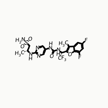 Cc1c([C@@H](NC(=O)Nc2cnc(N[C@H](C)CS(N)(=O)=O)nc2)C(F)(F)F)oc2c(F)cc(F)cc12